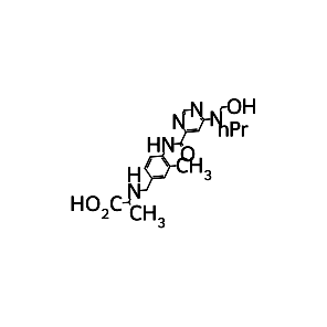 CCCN(CO)c1cc(C(=O)Nc2ccc(CNC(C)C(=O)O)cc2C)ncn1